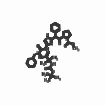 COC(=O)[C@@H]1CCCN1C(=O)C(c1ccccc1)c1nc(NC(=O)[C@@H](CC2CCCCC2)NC(=O)C(C)(C)NC(=O)OC(C)(C)C)c[nH]1